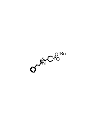 CC(C)(C)OC(=O)N1CCC(c2nc(CCc3ccccc3)cs2)CC1